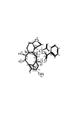 C=C(C)O[C@@]12COC1CC[C@@]1(C)[C@H](O)[C@H](O)C3=C(C)[C@@H](O)C[C@@](O)([C@@H](OC(=O)c4ccccc4)[C@@H]12)C3(C)C